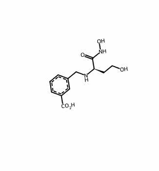 O=C(O)c1cccc(CN[C@H](CCO)C(=O)NO)c1